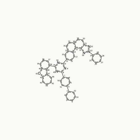 c1ccc(-c2ccc(-c3nc(-c4ccc5c(ccc6ccc7nn(-c8ccccc8)nc7c65)c4)nc(-c4cccc5oc6ccccc6c45)n3)cc2)cc1